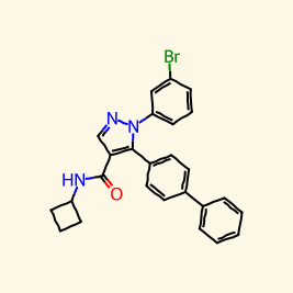 O=C(NC1CCC1)c1cnn(-c2cccc(Br)c2)c1-c1ccc(-c2ccccc2)cc1